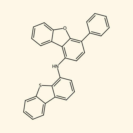 c1ccc(-c2ccc(Nc3cccc4c3sc3ccccc34)c3c2oc2ccccc23)cc1